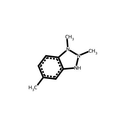 Cc1ccc2c(c1)NN(C)N2C